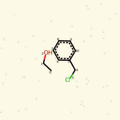 CCO.ClCc1ccccc1